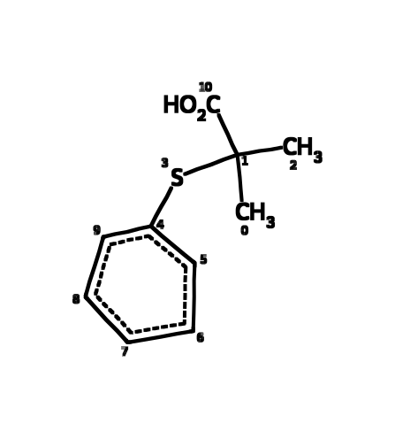 CC(C)(Sc1ccccc1)C(=O)O